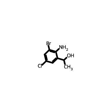 CC(O)c1cc(Cl)cc(Br)c1N